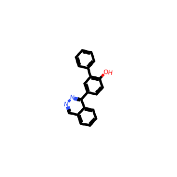 Oc1ccc(-c2nncc3ccccc23)cc1-c1ccccc1